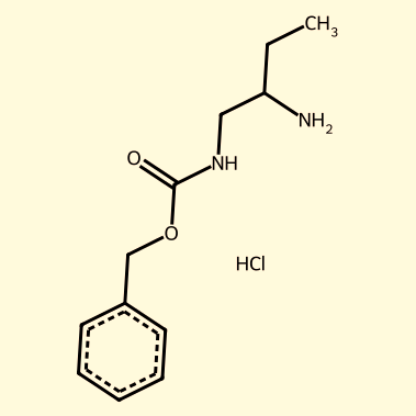 CCC(N)CNC(=O)OCc1ccccc1.Cl